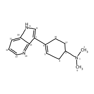 CN(C)C1CC=C(c2c[nH]c3cccnc23)CC1